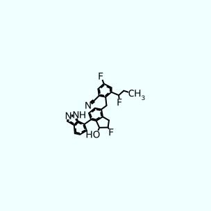 CCC(F)c1cc(F)cc(C#N)c1Cc1ccc(-c2cccc3cn[nH]c23)c2c1CC(F)C2O